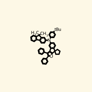 CC(C)(C)c1ccc(N(c2ccc3c(c2)-c2c(oc(-c4ccccc4)c2-c2ccccc2)C32CCCC2)c2ccc3c(c2)C(C)(C)c2ccccc2-3)cc1